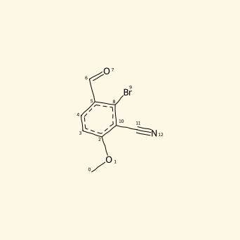 COc1ccc(C=O)c(Br)c1C#N